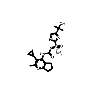 Cc1nc2c(c(NC(=O)N=[S@](N)(=O)c3ncc(C(C)(C)O)s3)c1C1CC1)CCC2